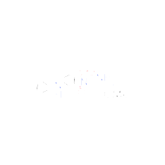 COCCCC(C(N)=O)N1C(=O)c2ccc(NCc3ccccc3)cc2C1=O